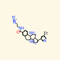 CCc1cncc(C2=CCC3C2CC[C@]2(N)c4ccc(C(=O)NCCN=[N+]=[N-])cc4CC[C@@]32N)c1